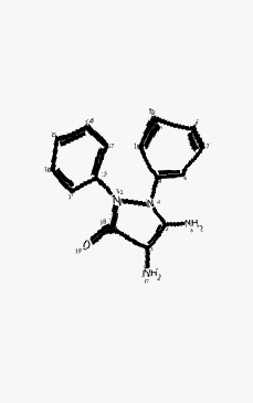 Nc1c(N)n(-c2ccccc2)n(-c2ccccc2)c1=O